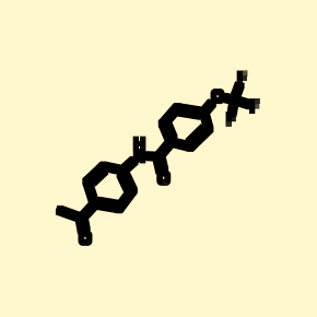 CC(=O)c1ccc(NC(=O)c2ccc(OC(F)(F)F)cc2)cc1